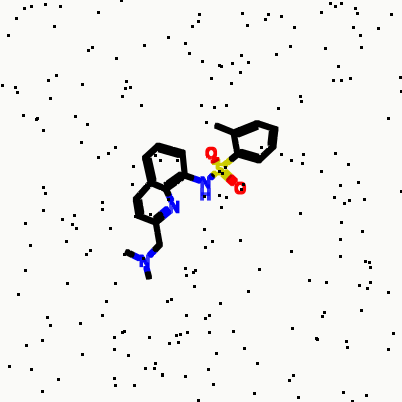 Cc1ccccc1S(=O)(=O)Nc1cccc2ccc(CN(C)C)nc12